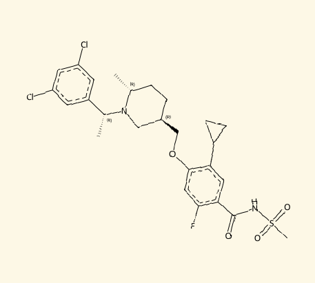 C[C@@H]1CC[C@@H](COc2cc(F)c(C(=O)NS(C)(=O)=O)cc2C2CC2)CN1[C@H](C)c1cc(Cl)cc(Cl)c1